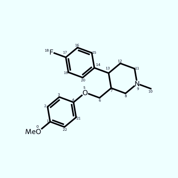 COc1ccc(OCC2CN(C)CCC2c2ccc(F)cc2)cc1